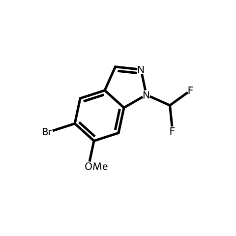 COc1cc2c(cnn2C(F)F)cc1Br